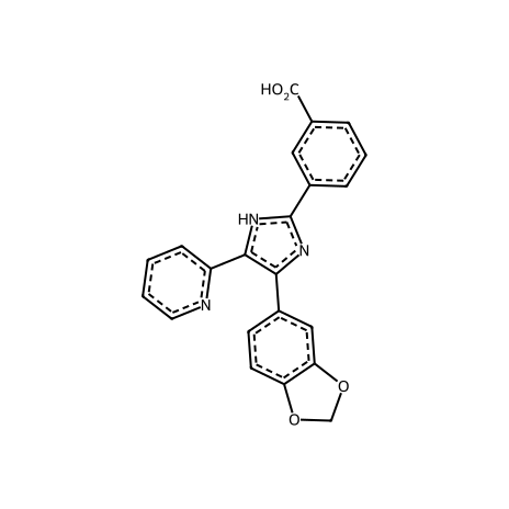 O=C(O)c1cccc(-c2nc(-c3ccc4c(c3)OCO4)c(-c3ccccn3)[nH]2)c1